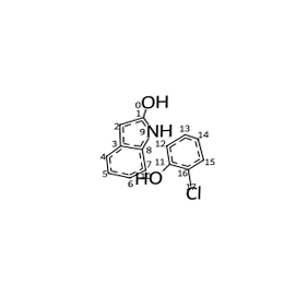 Oc1cc2ccccc2[nH]1.Oc1ccccc1Cl